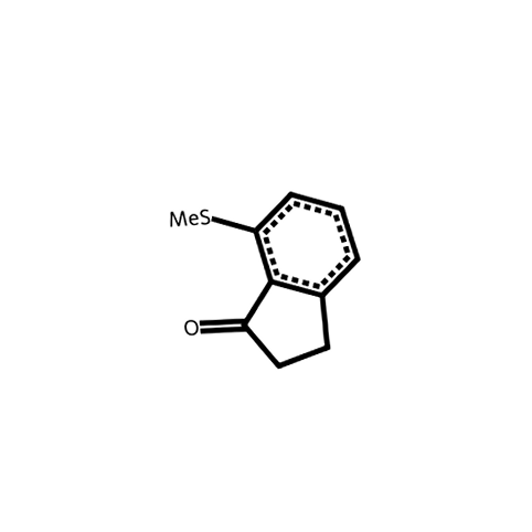 CSc1cccc2c1C(=O)CC2